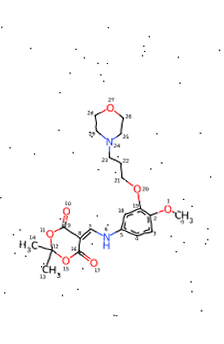 COc1ccc(NC=C2C(=O)OC(C)(C)OC2=O)cc1OCCCN1CCOCC1